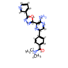 CN(C)C(=O)c1ccc(-c2cnc(N)c(-c3nnc(-c4cccnc4)o3)n2)cc1